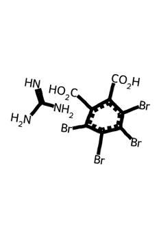 N=C(N)N.O=C(O)c1c(Br)c(Br)c(Br)c(Br)c1C(=O)O